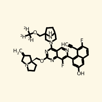 [2H]C([2H])([2H])OCC12CCC(CN(c3nc(OC[C@@]45CCCN4CC(=C)C5)nc4c(F)c(-c5cc(O)cc6ccc(F)c(C#C)c56)ncc34)C1)N2